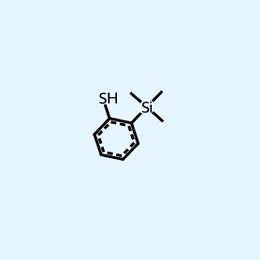 C[Si](C)(C)c1ccccc1S